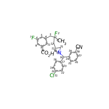 CC(F)(Cc1cc(F)cc(C(=O)O)c1)CC1CN(C(c2ccc(Cl)cc2)c2cccc(C#N)c2)C1